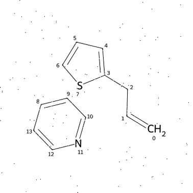 C=CCc1cccs1.c1ccncc1